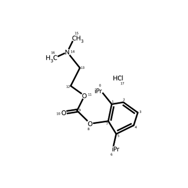 CC(C)c1cccc(C(C)C)c1OC(=O)OCCN(C)C.Cl